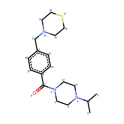 CC(C)N1CCN(C(=O)c2ccc(CN3CCSCC3)cc2)CC1